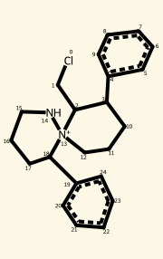 ClCC1C(c2ccccc2)CCC[N+]12NCCCC2c1ccccc1